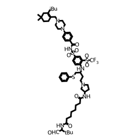 CCC(C)C1=C(CN2CCN(c3ccc(C(=O)NS(=O)(=O)c4ccc(NC(CCN5CCC(NC(=O)CCCCCCC(=O)NC(C=O)C(C)(C)C)C5)CSc5ccccc5)c(S(=O)(=O)C(F)(F)F)c4)cc3)CC2)CCC(C)(C)C1